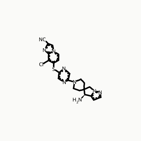 N#Cc1cn2ccc(Sc3cnc(N4CCC5(CC4)Cn4nccc4[C@H]5N)cn3)c(Cl)c2n1